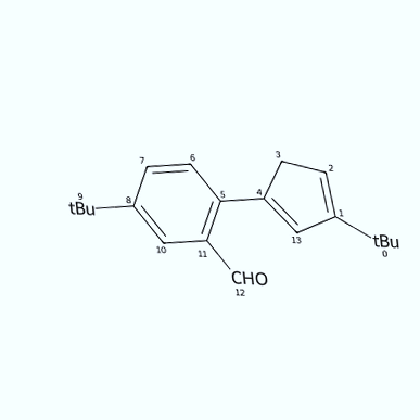 CC(C)(C)C1=CCC(c2ccc(C(C)(C)C)cc2C=O)=C1